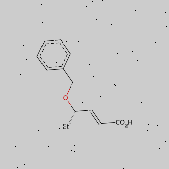 CC[C@@H](/C=C/C(=O)O)OCc1ccccc1